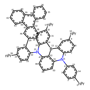 CCCc1ccc(N2c3ccc(CCC)cc3B3c4cc(CCC)ccc4N(c4ccc(CCC)cc4-c4ccc5c6ccccc6c6ccccc6c5c4)c4cccc2c43)cc1